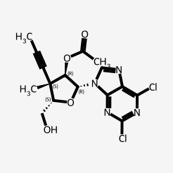 CC#C[C@@]1(C)[C@@H](CO)O[C@@H](n2cnc3c(Cl)nc(Cl)nc32)[C@@H]1OC(C)=O